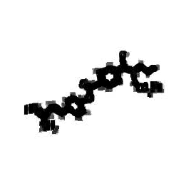 C=CCN(CC(=O)OCC)C(=O)c1ccc(C(=O)Oc2ccc(C=CC(=N)N)cc2)cc1